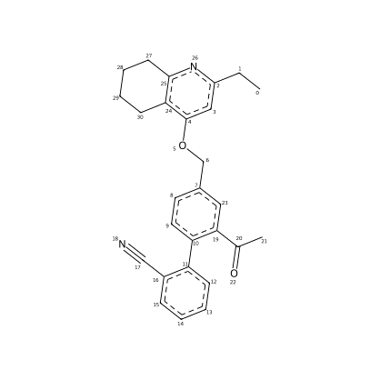 CCc1cc(OCc2ccc(-c3ccccc3C#N)c(C(C)=O)c2)c2c(n1)CCCC2